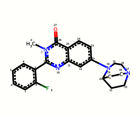 Cn1c(-c2ccccc2F)nc2cc(N3CCN4CCC3CC4)ccc2c1=O